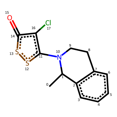 CC1c2ccccc2CCN1c1ssc(=O)c1Cl